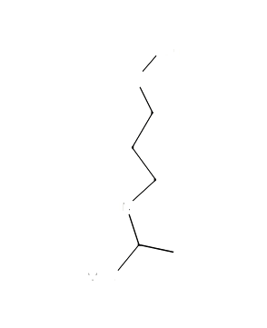 CSC(C)NCCCOC(C)(C)C